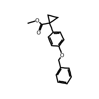 COC(=O)C1(c2ccc(OCc3ccccc3)cc2)CC1